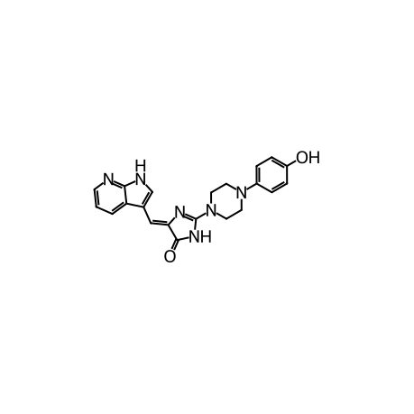 O=C1NC(N2CCN(c3ccc(O)cc3)CC2)=NC1=Cc1c[nH]c2ncccc12